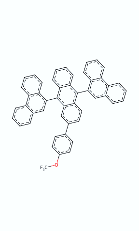 FC(F)(F)Oc1ccc(-c2ccc3c(-c4cc5ccccc5c5ccccc45)c4ccccc4c(-c4cc5ccccc5c5ccccc45)c3c2)cc1